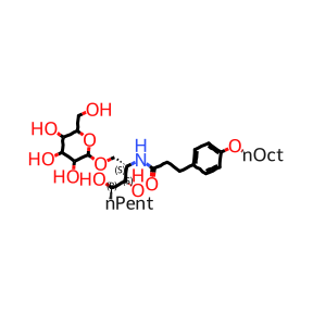 CCCCCCCCOc1ccc(CCC(=O)N[C@@H](COC2OC(CO)C(O)C(O)C2O)[C@H](O)[C@H](O)CCCCC)cc1